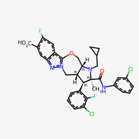 C[C@]1(C(=O)Nc2cccc(Cl)c2)[C@@H](c2cccc(Cl)c2F)[C@@H]2Cn3nc4cc(C(=O)O)c(F)cc4c3OC[C@@H]2N1CC1CC1